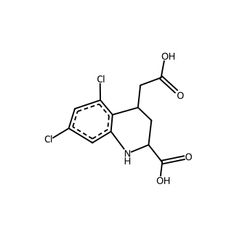 O=C(O)CC1CC(C(=O)O)Nc2cc(Cl)cc(Cl)c21